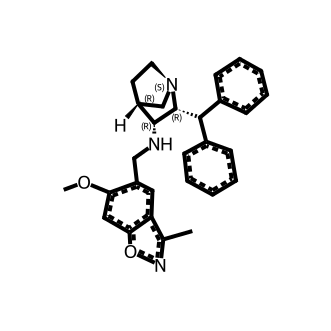 COc1cc2onc(C)c2cc1CN[C@@H]1[C@@H]2CC[N@](C2)[C@@H]1C(c1ccccc1)c1ccccc1